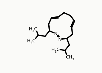 CC(C)CC1C/C=C/CC/C=C/CC(CC(C)C)/N=N/1